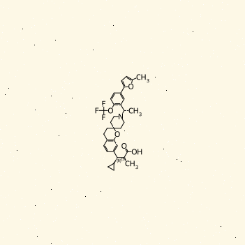 Cc1ccc(-c2ccc(OC(F)(F)F)c(C(C)N3CCC4(CCc5ccc([C@H](C6CC6)[C@H](C)C(=O)O)cc5O4)CC3)c2)o1